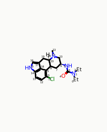 CCN(CC)C(=O)N[C@H]1CC2c3c(Cl)ccc4[nH]cc(c34)C[C@H]2N(C)C1